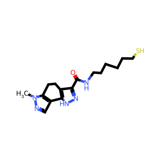 Cn1ncc2c1CCc1c(C(=O)NCCCCCCS)n[nH]c1-2